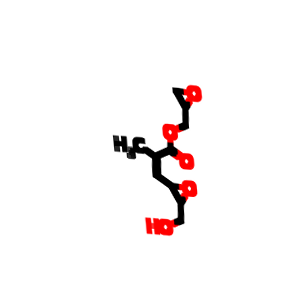 CC(=CC1OC1CO)C(=O)OCC1CO1